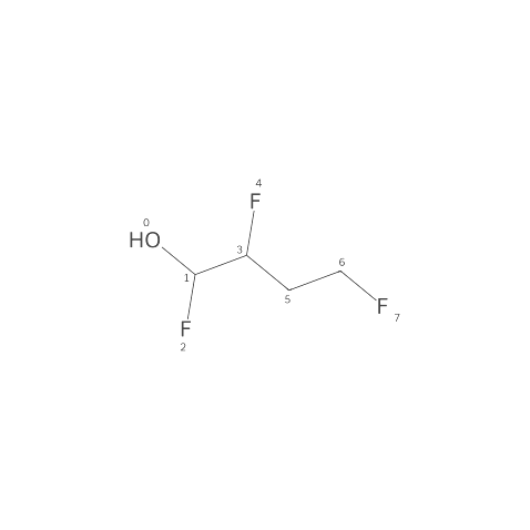 OC(F)C(F)CCF